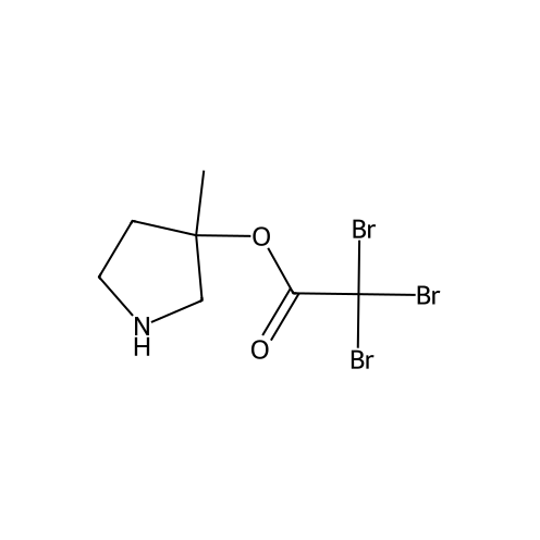 CC1(OC(=O)C(Br)(Br)Br)CCNC1